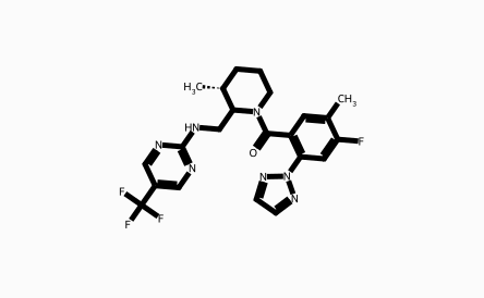 Cc1cc(C(=O)N2CCC[C@@H](C)C2CNc2ncc(C(F)(F)F)cn2)c(-n2nccn2)cc1F